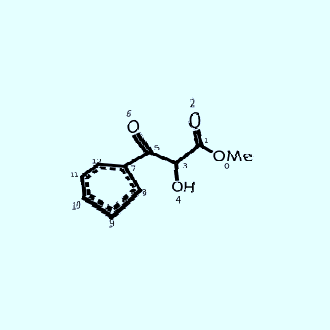 COC(=O)C(O)C(=O)c1ccccc1